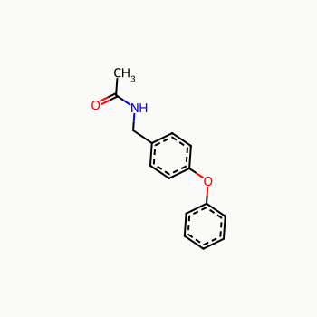 CC(=O)NCc1ccc(Oc2ccccc2)cc1